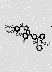 COc1cc(C(=O)N2CCC(CCN3CCC(NC(=O)N4CCCCC4C(=O)O)(c4ccccc4)CC3)(c3ccc(F)cc3)C2)cc(OC)c1OC